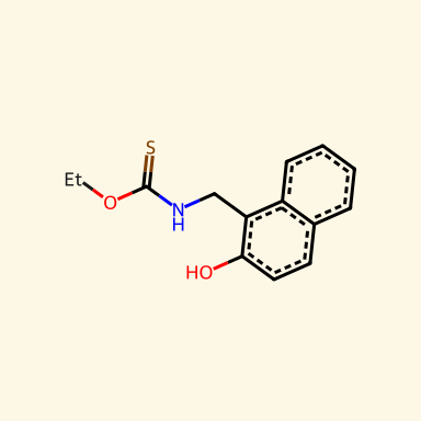 CCOC(=S)NCc1c(O)ccc2ccccc12